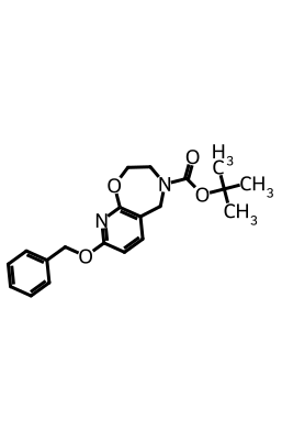 CC(C)(C)OC(=O)N1CCOc2nc(OCc3ccccc3)ccc2C1